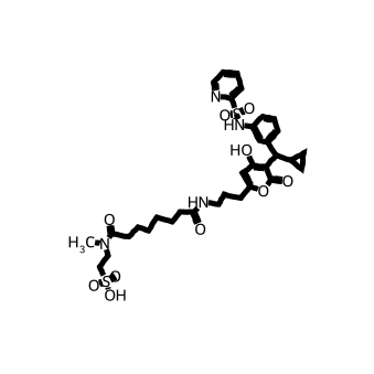 CN(CCS(=O)(=O)O)C(=O)CCCCCCC(=O)NCCCc1cc(O)c(C(c2cccc(NS(=O)(=O)c3ccccn3)c2)C2CC2)c(=O)o1